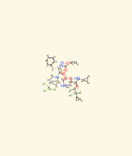 COC(=O)N[C@@H](Cc1ccccc1)C(=O)N1CC[C@@H](C(F)(F)F)C[C@H]1C(=O)N[C@@H](CCC(C)(F)F)C(=O)C(=O)NC1CC1